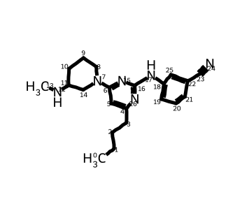 CCCCc1cc(N2CCCC(NC)C2)nc(Nc2cccc(C#N)c2)n1